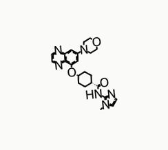 Cn1ccnc1NC(=O)[C@H]1CC[C@@H](Oc2cc(N3CCOCC3)cc3nccnc23)CC1